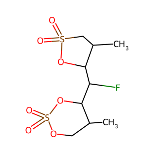 CC1CS(=O)(=O)OC1C(F)C1OS(=O)(=O)OCC1C